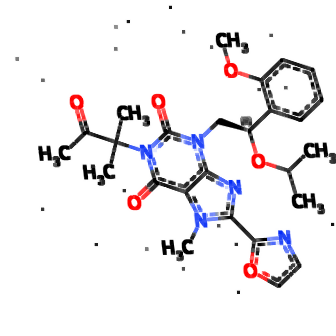 COc1ccccc1[C@H](Cn1c(=O)n(C(C)(C)C(C)=O)c(=O)c2c1nc(-c1ncco1)n2C)OC(C)C